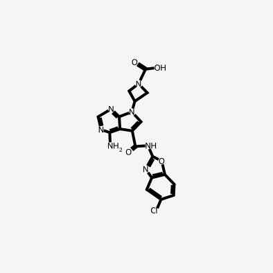 Nc1ncnc2c1c(C(=O)Nc1nc3cc(Cl)ccc3o1)cn2C1CN(C(=O)O)C1